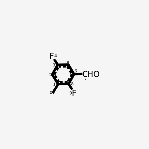 Cc1cc(F)cc(C=O)c1F